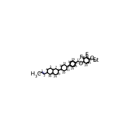 C/C=C/C1CCC2CC(C3CCC(c4ccc(COC5C=CC(OCC)=C(F)C5F)cc4)CC3)CCC2C1